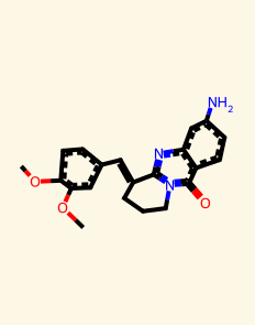 COc1ccc(C=C2CCCn3c2nc2cc(N)ccc2c3=O)cc1OC